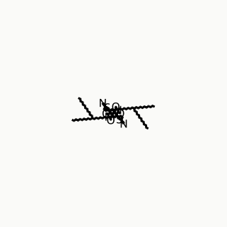 CCCCCCCCCCCCC(CCCCCCCCCC)CCCCCCCN1C(=O)c2cc(-c3ccc(C#N)s3)c3c4c(cc(-c5ccc(C#N)s5)c(c24)C1=O)C(=O)N(CCCCCCCC(CCCCCCCCCC)CCCCCCCCCCCC)C3=O